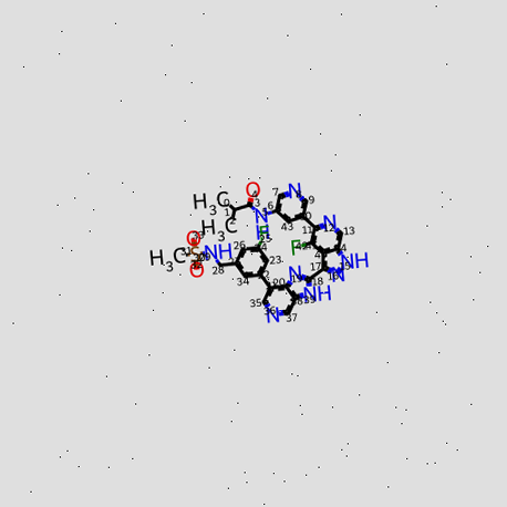 CC(C)C(=O)Nc1cncc(-c2ncc3[nH]nc(-c4nc5c(-c6cc(F)cc(CNS(C)(=O)=O)c6)cncc5[nH]4)c3c2F)c1